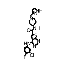 O=C(NC1CCN(Cc2cc[nH]n2)CC1)c1cc2c(Nc3ccc(F)c(Cl)c3)ncnc2s1